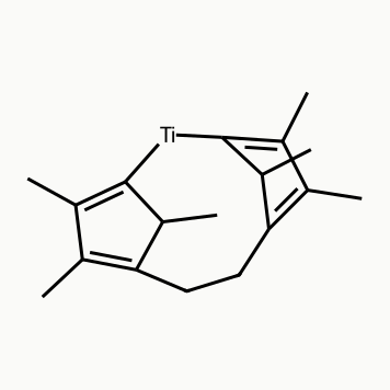 CC1=C2CCC3=C(C)C(C)=[C]([Ti][C](=C1C)C2C)C3C